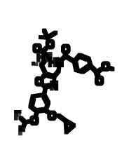 COC(=O)c1ccc(C(=O)NCc2nc(-c3ccc(OC(F)F)c(OCC4CC4)c3)oc2[C@H](C)NC(=O)OC(C)(C)C)cc1